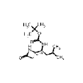 CC(C)C[C@H](NC(=O)OC(C)(C)C)[C@@H]1CC(=O)N1